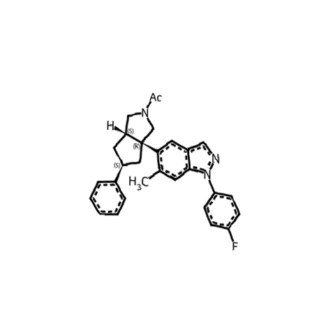 CC(=O)N1C[C@H]2C[C@H](c3ccccc3)C[C@@]2(c2cc3cnn(-c4ccc(F)cc4)c3cc2C)C1